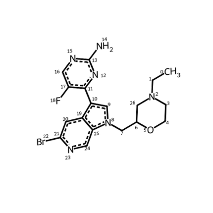 CCN1CCOC(Cn2cc(-c3nc(N)ncc3F)c3cc(Br)ncc32)C1